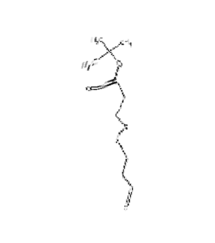 CC(C)(C)OC(=O)CCSSCCC=O